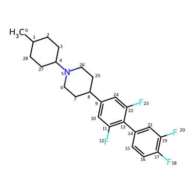 CC1CCC(N2CCC(c3cc(F)c(-c4ccc(F)c(F)c4)c(F)c3)CC2)CC1